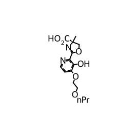 CCCOCCOc1ccnc(C2=N[C@@](C)(C(=O)O)CO2)c1O